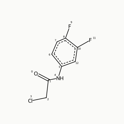 O=C(CCl)Nc1ccc(F)c(F)c1